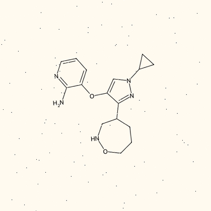 Nc1ncccc1Oc1cn(C2CC2)nc1C1CCCONC1